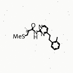 CSC[C@H](C)C(=O)Nc1nccc(CCc2ccccc2C)n1